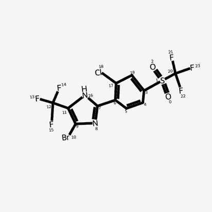 O=S(=O)(c1ccc(-c2nc(Br)c(C(F)(F)F)[nH]2)c(Cl)c1)C(F)(F)F